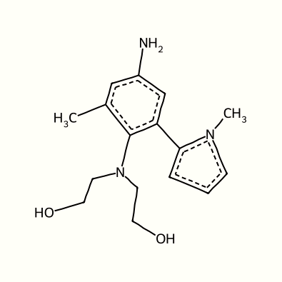 Cc1cc(N)cc(-c2cccn2C)c1N(CCO)CCO